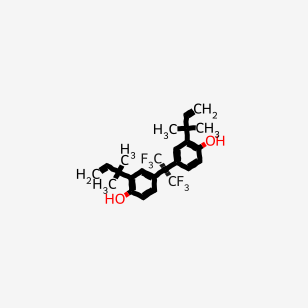 C=CC(C)(C)c1cc(C(c2ccc(O)c(C(C)(C)C=C)c2)(C(F)(F)F)C(F)(F)F)ccc1O